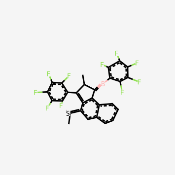 CC1C(=Bc2c(F)c(F)c(F)c(F)c2F)c2c(c(=[Si](C)C)cc3ccccc23)=C1c1c(F)c(F)c(F)c(F)c1F